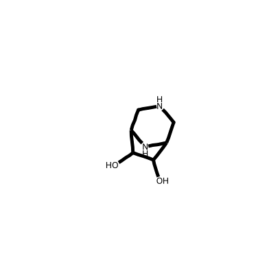 OC1C2CNCC(N2)C1O